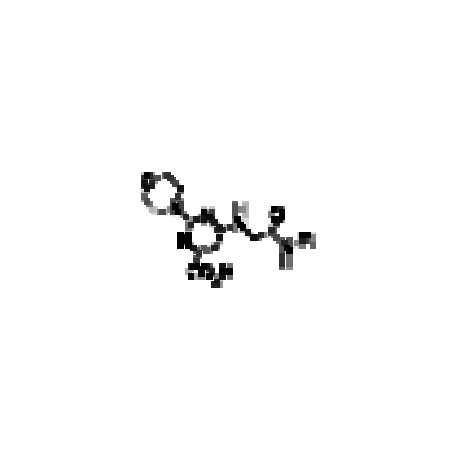 CCNC(=O)CNc1cc(C(=O)O)nc(N2CCOCC2)n1